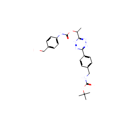 CC(OC(=O)Nc1ccc(CO)cc1)c1nnc(-c2ccc(CNC(=O)OC(C)(C)C)cc2)nn1